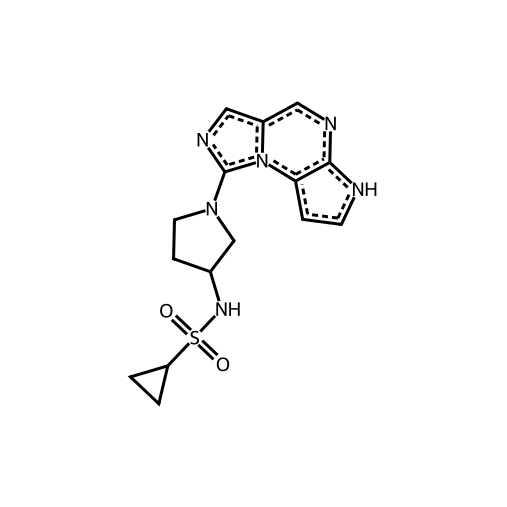 O=S(=O)(NC1CCN(c2ncc3cnc4[nH]ccc4n23)C1)C1CC1